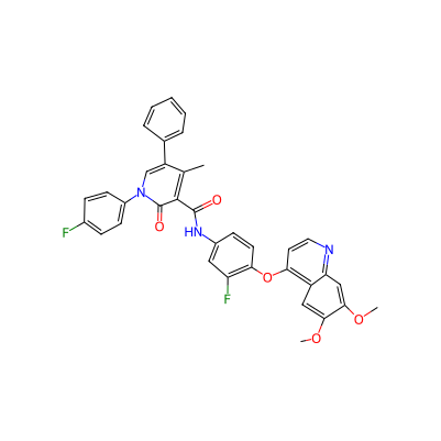 COc1cc2nccc(Oc3ccc(NC(=O)c4c(C)c(-c5ccccc5)cn(-c5ccc(F)cc5)c4=O)cc3F)c2cc1OC